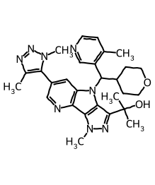 Cc1ccncc1C(C1CCOCC1)n1c2cc(-c3c(C)nnn3C)cnc2c2c1c(C(C)(C)O)nn2C